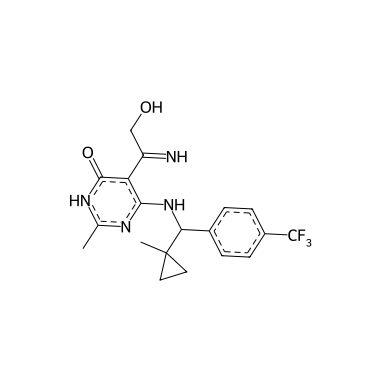 Cc1nc(NC(c2ccc(C(F)(F)F)cc2)C2(C)CC2)c(C(=N)CO)c(=O)[nH]1